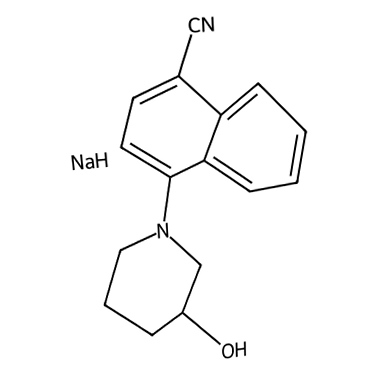 N#Cc1ccc(N2CCCC(O)C2)c2ccccc12.[NaH]